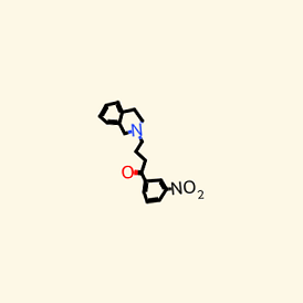 O=C(CCCN1CCc2ccccc2C1)c1cccc([N+](=O)[O-])c1